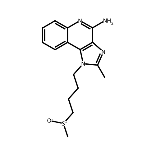 Cc1nc2c(N)nc3ccccc3c2n1CCCC[S+](C)[O-]